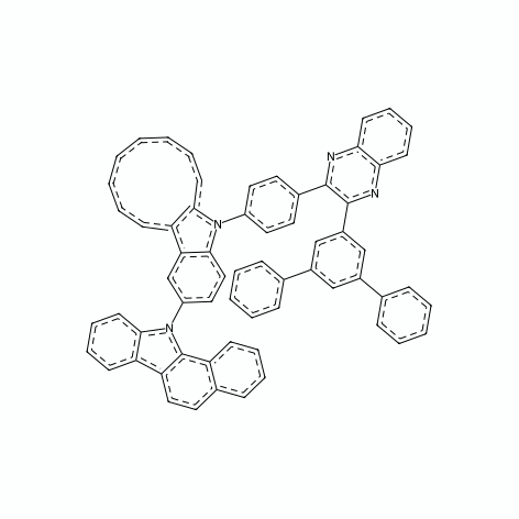 c1ccccc2c(ccc1)c1cc(-n3c4ccccc4c4ccc5ccccc5c43)ccc1n2-c1ccc(-c2nc3ccccc3nc2-c2cc(-c3ccccc3)cc(-c3ccccc3)c2)cc1